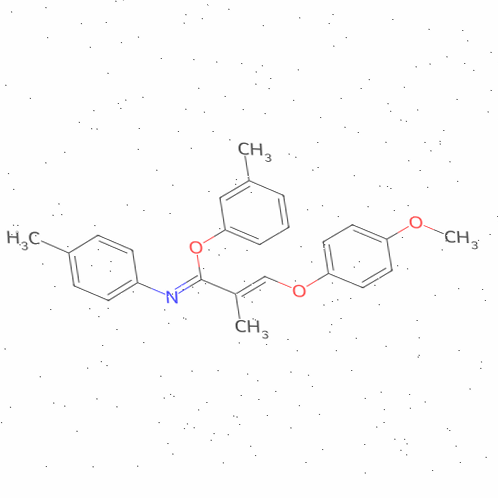 COc1ccc(O/C=C(C)/C(=N/c2ccc(C)cc2)Oc2cccc(C)c2)cc1